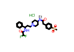 CCN(C(=O)Cc1ccc(S(C)(=O)=O)cc1)C1CCN(CCC(NC(=O)C(F)F)c2ccccc2)CC1.Cl